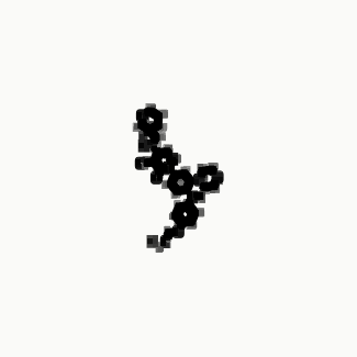 CCOc1ccc(N(C[C@H]2COCCO2)[C@H]2CC[C@H](n3ncc(NC[C@]4(F)CCCOC4)c(Cl)c3=O)CC2)cc1